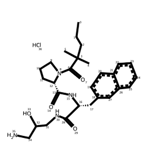 CCCC(C)(C)C(=O)N1CCC[C@H]1C(=O)N[C@H](Cc1ccc2ccccc2c1)C(=O)NCC(O)CN.Cl